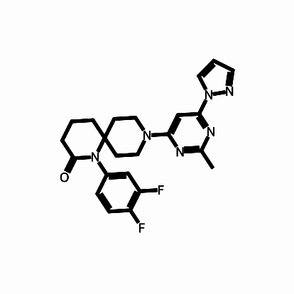 Cc1nc(N2CCC3(CCCC(=O)N3c3ccc(F)c(F)c3)CC2)cc(-n2cccn2)n1